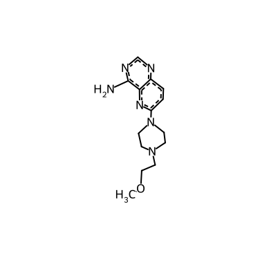 COCCN1CCN(c2ccc3ncnc(N)c3n2)CC1